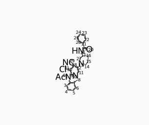 CC(=O)N(c1ccccc1C)c1ncc(N2CCC[C@@H](NC(=O)c3ccccc3)C2)c(C#N)c1Cl